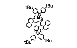 Cc1ccc2ccccc2c1-c1c2ccc(-n3c4ccc(C(C)(C)C)cc4c4cc(C(C)(C)C)ccc43)cc2c(-c2c(C)ccc3ccccc23)c2ccc(-n3c4ccc(C(C)(C)C)cc4c4cc(C(C)(C)C)ccc43)cc12